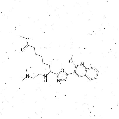 CCC(=O)CCCCCC(NCCN(C)C)c1ncc(-c2cc3ccccc3nc2OC)o1